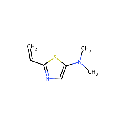 C=Cc1ncc(N(C)C)s1